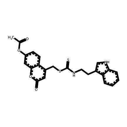 CC(=O)Oc1ccc2c(CSC(=S)NCCc3c[nH]c4ccccc34)cc(=O)oc2c1